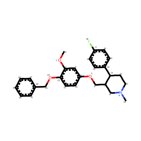 COc1cc(OCC2CN(C)CCC2c2ccc(F)cc2)ccc1OCc1ccccc1